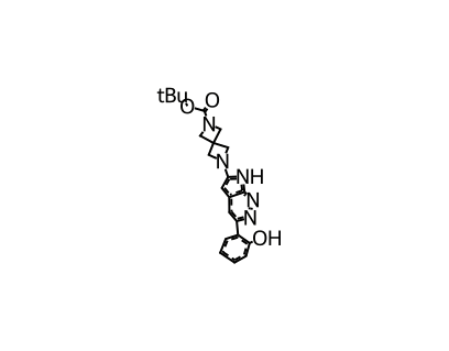 CC(C)(C)OC(=O)N1CC2(C1)CN(c1cc3cc(-c4ccccc4O)nnc3[nH]1)C2